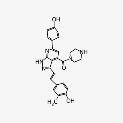 Cc1cc(C=Cc2n[nH]c3nc(-c4ccc(O)cc4)cc(C(=O)N4CCNCC4)c23)ccc1O